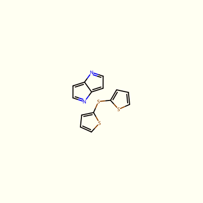 C1=NC2=CC=NC2=C1.c1csc(Sc2cccs2)c1